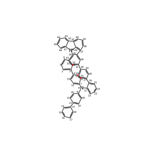 c1ccc(-c2ccc(N(c3ccc(-c4ccccc4)cc3)c3ccccc3-c3ccc(-c4ccc5c(c4)c4cccc6c7ccccc7n5c64)cc3)cc2)cc1